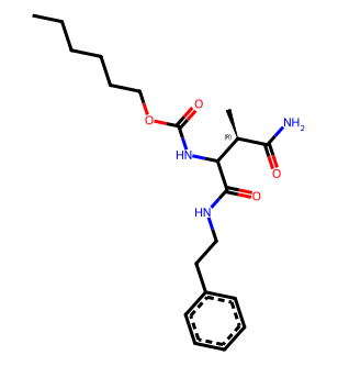 CCCCCCOC(=O)NC(C(=O)NCCc1ccccc1)[C@@H](C)C(N)=O